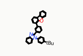 CC(C)(C)c1ccc(-n2c(-c3cccc(-c4cccc5c4oc4ccccc45)c3)nc3ccccc32)cc1